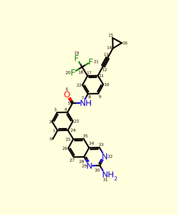 Cc1ccc(C(=O)Nc2ccc(C#CC3CC3)c(C(F)(F)F)c2)cc1-c1ccc2nc(N)ncc2c1